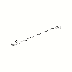 CCCCCCCC/C=C/CCCCCCCCCCCCCCCCCCCC(=O)CC(C)=O